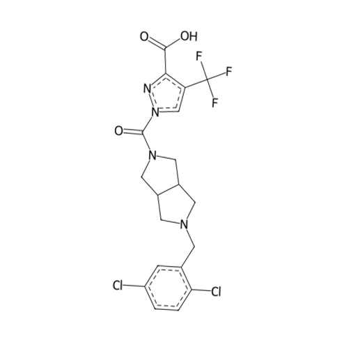 O=C(O)c1nn(C(=O)N2CC3CN(Cc4cc(Cl)ccc4Cl)CC3C2)cc1C(F)(F)F